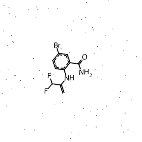 C=C(Nc1ccc(Br)cc1C(N)=O)C(F)F